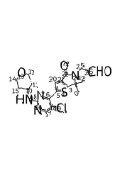 CC1(C)c2sc(-c3nc(NC4CCOCC4)ncc3Cl)cc2C(=O)N1CC=O